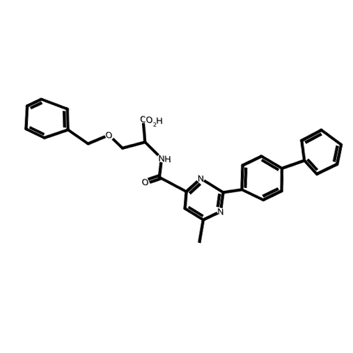 Cc1cc(C(=O)NC(COCc2ccccc2)C(=O)O)nc(-c2ccc(-c3ccccc3)cc2)n1